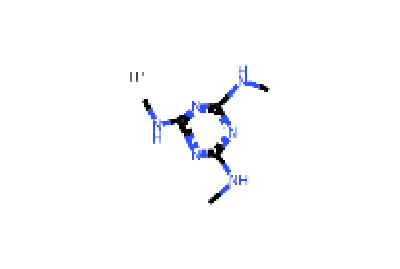 CNc1nc(NC)nc(NC)n1.[H+]